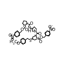 COc1ccc(CS[C@H]2C[C@@H](C(=O)N3CC[C@H](NC(=O)[C@H]4CCCN4C(=O)OCc4ccc([N+](=O)[O-])cc4)C3)N(C(=O)OCc3ccc([N+](=O)[O-])cc3)C2)cc1